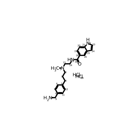 CN(CCCc1ccc(CN)cc1)CCNC(=O)c1ccc2[nH]ccc2c1.Cl.Cl